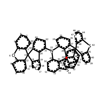 c1ccc2c(c1)Oc1ccccc1C21c2ccccc2-c2c(N(c3cccc4c3-c3ccccc3C43c4ccccc4Sc4ccccc43)c3cccc4sc5ccccc5c34)cccc21